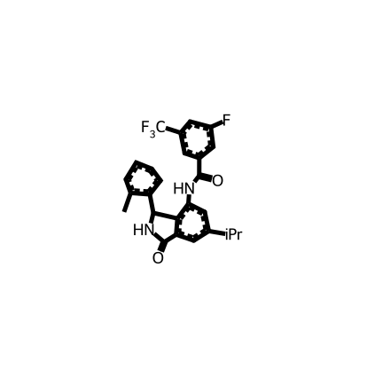 Cc1ccccc1C1NC(=O)c2cc(C(C)C)cc(NC(=O)c3cc(F)cc(C(F)(F)F)c3)c21